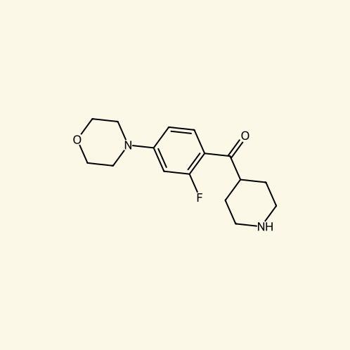 O=C(c1ccc(N2CCOCC2)cc1F)C1CCNCC1